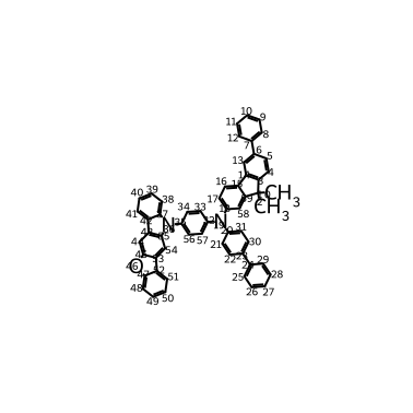 CC1(C)c2ccc(-c3ccccc3)cc2-c2ccc(N(c3ccc(-c4ccccc4)cc3)c3ccc(-n4c5ccccc5c5cc6oc7ccccc7c6cc54)cc3)cc21